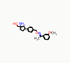 COc1cccc(/C(C)=N/OCc2ccc([C@H]3CC[C@](N)(CO)C3)cc2)c1